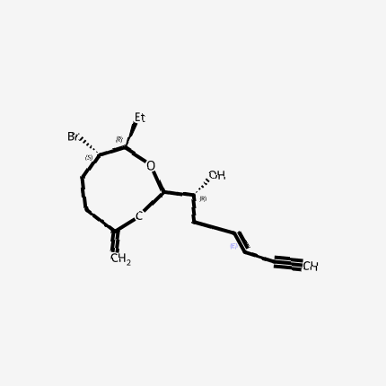 C#C/C=C/C[C@@H](O)C1CC(=C)CC[C@H](Br)[C@@H](CC)O1